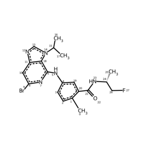 Cc1ccc(Nc2nc(Br)cc3ncn(C(C)C)c23)cc1C(=O)N[C@H](C)CF